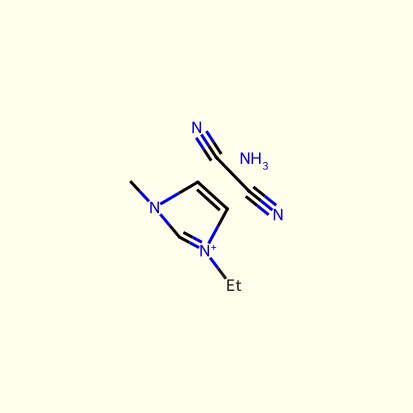 CC[n+]1ccn(C)c1.N.N#CC#N